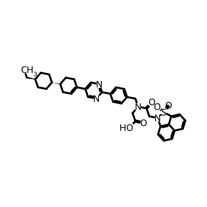 CC[C@H]1CC[C@H](C2CC=C(c3cnc(-c4ccc(CN(CC(=O)O)C(=O)CN5c6cccc7cccc(c67)S5(=O)=O)cc4)nc3)CC2)CC1